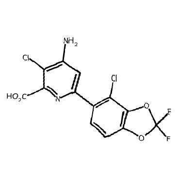 Nc1cc(-c2ccc3c(c2Cl)OC(F)(F)O3)nc(C(=O)O)c1Cl